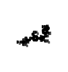 COc1cc(-c2nc(Nc3ccc4[nH]ncc4c3Cl)n(C)n2)ccc1OCC(=O)NC(C)(C)C